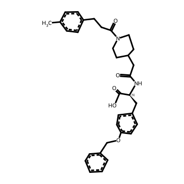 Cc1ccc(CCC(=O)N2CCC(CC(=O)N[C@@H](Cc3ccc(OCc4ccccc4)cc3)C(=O)O)CC2)cc1